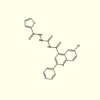 O=C(NNC(=S)NC(=O)c1cc(-c2ccccc2)nc2ccc(Cl)cc12)c1cccs1